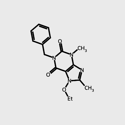 CCOn1c(C)nc2c1c(=O)n(Cc1ccccc1)c(=O)n2C